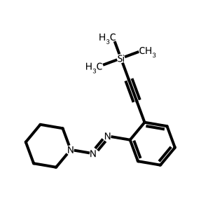 C[Si](C)(C)C#Cc1ccccc1N=NN1CCCCC1